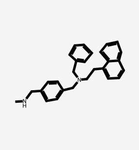 CNCc1ccc(CN(CCc2cccc3ccccc23)Cc2ccccc2)cc1